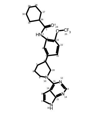 O=C(Nc1cc(C2CCCN(c3ncnc4[nH]ccc34)C2)ccc1OC(F)(F)F)C1CCCCC1